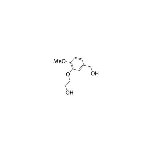 COc1ccc(CO)cc1OCCO